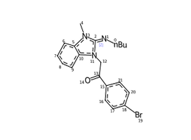 CCCC/N=c1/n(C)c2ccccc2n1CC(=O)c1ccc(Br)cc1